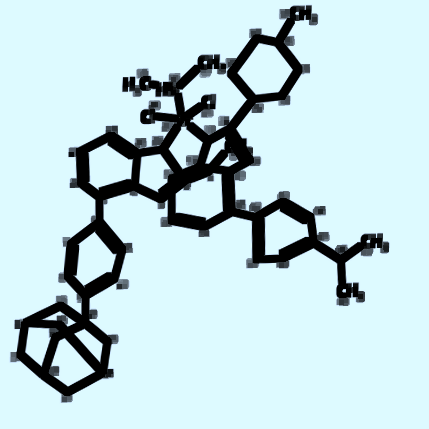 CCC1=Cc2c(-c3ccc(C45CC6CC(CC(C6)C4)C5)cc3)cccc2[CH]1[Zr]([Cl])([Cl])([CH]1C(C2CCC(C)CC2)=Cc2c(-c3ccc(C(C)C)cc3)cccc21)[SiH](C)C